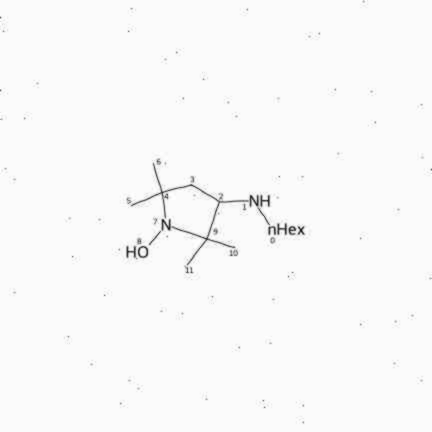 CCCCCCNC1CC(C)(C)N(O)C1(C)C